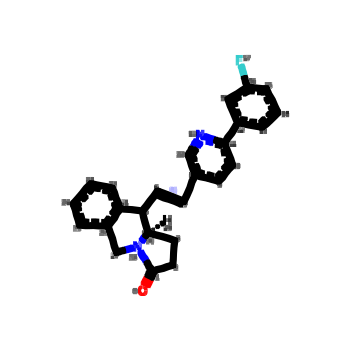 O=C1CC[C@@H]2C(/C=C/c3ccc(-c4cccc(F)c4)nc3)c3ccccc3CN12